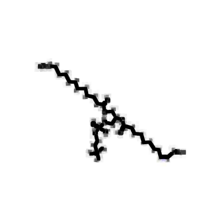 CCCCCCCCC/C=C\CCCCCCCC(=O)O[C@H](COC(=O)CCCCCCCCCCCCCCCCCCCC)COP(=O)([O-])OCC[N+](C)(C)C